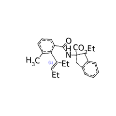 CC/C=C(\CC)c1c(C)cccc1C(=O)NC1(C(=O)OCC)Cc2ccccc2C1